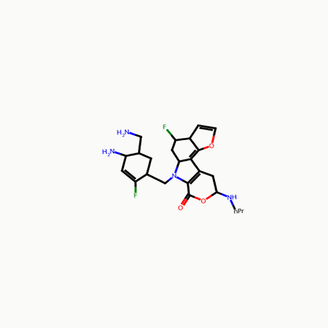 CCCNC1CC2=C(C(=O)O1)N(CC1CC(CN)C(N)C=C1F)C1CC(F)C3C=COC3=C21